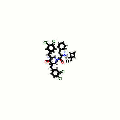 CC1(BNC(Cc2ccccc2)C(=O)N2C/C(=C\c3ccc(Cl)c(Cl)c3)C(=O)/C(=C/c3ccc(Cl)c(Cl)c3)C2)CCC1